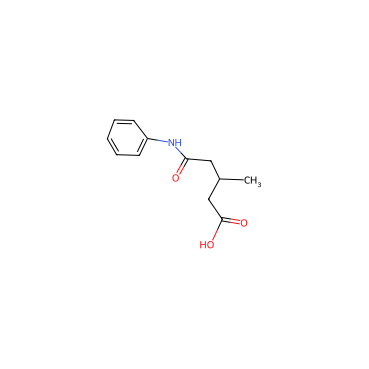 CC(CC(=O)O)CC(=O)Nc1ccccc1